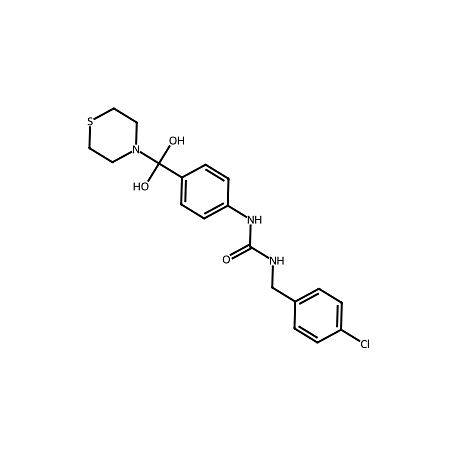 O=C(NCc1ccc(Cl)cc1)Nc1ccc(C(O)(O)N2CCSCC2)cc1